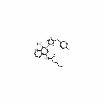 CCCCC(=O)Nc1nc(-c2nnc(Cc3ccc(C)cc3)o2)c(O)c2ncccc12